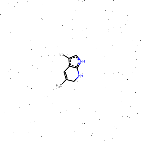 CCc1c[nH]c2c1C=C(C)CN2